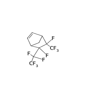 FC(F)(F)C(F)(F)C1(F)C2C=CC(C2)C1(F)C(F)(F)F